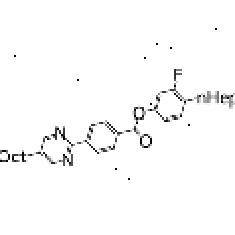 CCCCCCCCc1cnc(-c2ccc(C(=O)Oc3ccc(CCCCCCC)c(F)c3)cc2)nc1